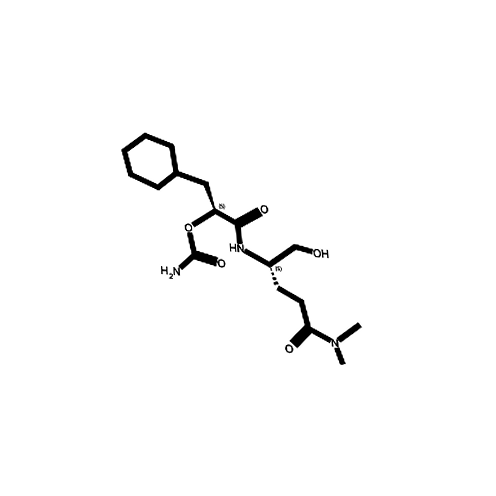 CN(C)C(=O)CC[C@@H](CO)NC(=O)[C@H](CC1CCCCC1)OC(N)=O